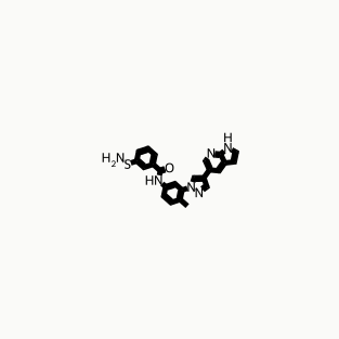 Cc1ccc(NC(=O)c2cccc(SN)c2)cc1-n1cc(-c2cnc3[nH]ccc3c2)cn1